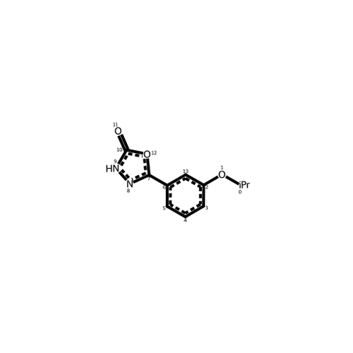 CC(C)Oc1cccc(-c2n[nH]c(=O)o2)c1